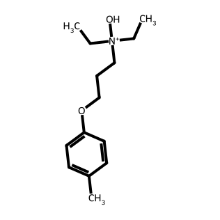 CC[N+](O)(CC)CCCOc1ccc(C)cc1